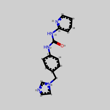 O=C(Nc1ccc(Cn2ccnc2)cc1)Nc1ccccn1